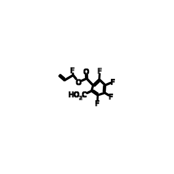 C=CC(F)OC(=O)c1c(F)c(F)c(F)c(F)c1C(=O)O